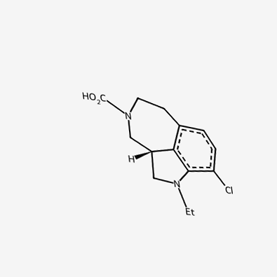 CCN1C[C@@H]2CN(C(=O)O)CCc3ccc(Cl)c1c32